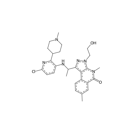 Cc1ccc2c(c1)c(=O)n(C)c1c2c(C(C)Nc2ccc(Cl)nc2C2CCN(C)CC2)nn1CCO